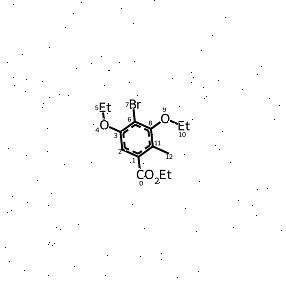 CCOC(=O)c1cc(OCC)c(Br)c(OCC)c1C